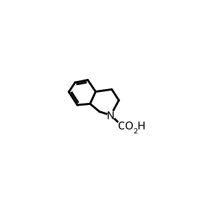 O=C(O)N1CCC2C=CC=CC2C1